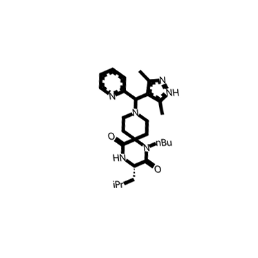 CCCCN1C(=O)[C@H](CC(C)C)NC(=O)C12CCN(C(c1ccccn1)c1c(C)n[nH]c1C)CC2